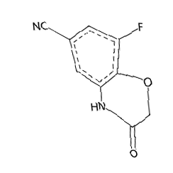 N#Cc1cc(F)c2c(c1)NC(=O)CO2